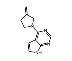 C=C1CCN(c2ncnc3[nH]ccc23)C1